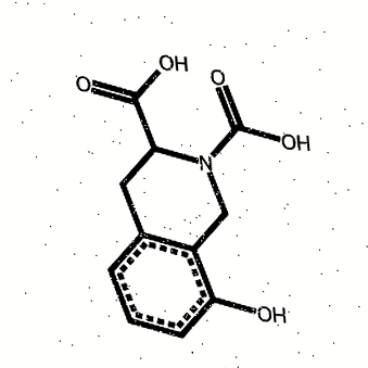 O=C(O)C1Cc2cccc(O)c2CN1C(=O)O